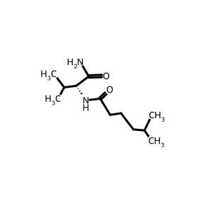 CC(C)CCCC(=O)N[C@@H](C(N)=O)C(C)C